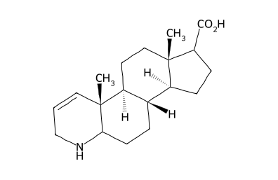 C[C@]12C=CCNC1CC[C@@H]1[C@@H]2CC[C@]2(C)C(C(=O)O)CC[C@@H]12